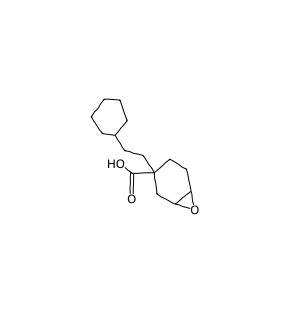 O=C(O)C1(CCC2CCCCC2)CCC2OC2C1